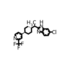 C[C@@H](c1nc2ccc(Cl)cc2[nH]1)[C@H]1CC[C@H](c2ccnc(C(F)(F)F)c2)CC1